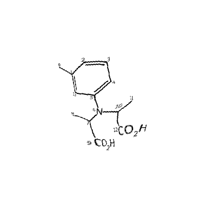 Cc1cccc(N(C(C)C(=O)O)C(C)C(=O)O)c1